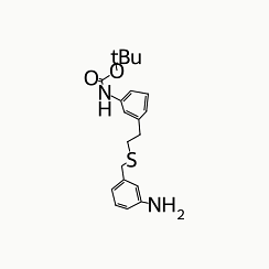 CC(C)(C)OC(=O)Nc1cccc(CCSCc2cccc(N)c2)c1